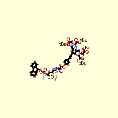 CC(C)(C)OC(=O)CN(CC(=O)OC(C)(C)C)Cc1cc(C#Cc2ccc(OCC(=O)NCCCCC(NC(=O)OCC3c4ccccc4-c4ccccc43)C(=O)O)cc2)cc(CN(CC(=O)OC(C)(C)C)CC(=O)OC(C)(C)C)n1